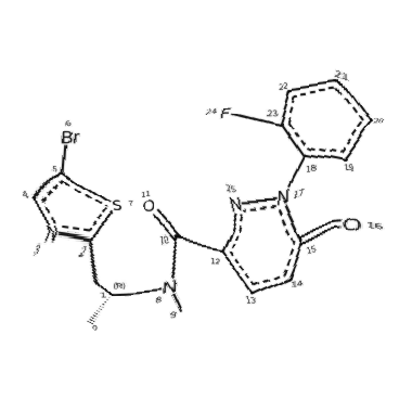 C[C@H](c1ncc(Br)s1)N(C)C(=O)c1ccc(=O)n(-c2ccccc2F)n1